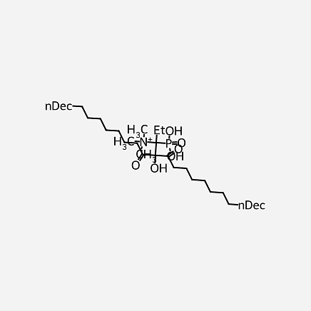 CCCCCCCCCCCCCCCCCC(=O)C(O)(C(=O)CCCCCCCCCCCCCCCCC)C(CC)([N+](C)(C)C)P(=O)(O)O